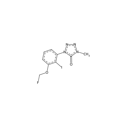 Cn1nnn(-c2cccc(OCF)c2I)c1=O